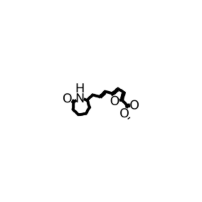 COC(=O)c1ccc(C=CCC2CCCCC(=O)N2)o1